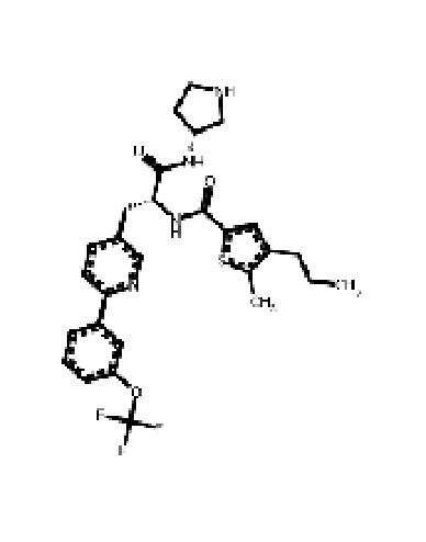 CCCc1cc(C(=O)N[C@H](Cc2ccc(-c3cccc(OC(F)(F)F)c3)nc2)C(=O)N[C@@H]2CCNC2)sc1C